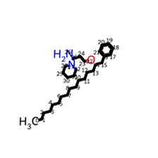 CCCCCCCCCCCCCCC(Cc1ccccc1)OCCC(N)N1CCCCC1